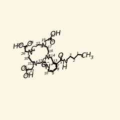 CCCCNC(=O)c1ccc[n+]([O-])c1CN1CCN(CC(=O)O)CCN(CC(=O)O)CCN(CC(=O)O)CC1